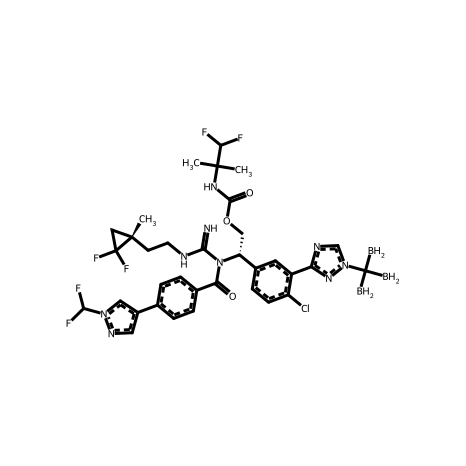 BC(B)(B)n1cnc(-c2cc([C@@H](COC(=O)NC(C)(C)C(F)F)N(C(=N)NCC[C@@]3(C)CC3(F)F)C(=O)c3ccc(-c4cnn(C(F)F)c4)cc3)ccc2Cl)n1